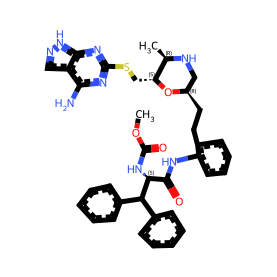 COC(=O)N[C@H](C(=O)Nc1ccccc1CC[C@@H]1CN[C@H](C)[C@@H](CSc2nc(N)c3cn[nH]c3n2)O1)C(c1ccccc1)c1ccccc1